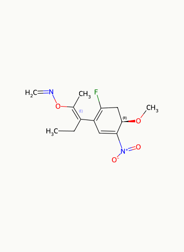 C=NO/C(C)=C(\CC)C1=C(F)C[C@@H](OC)C([N+](=O)[O-])=C1